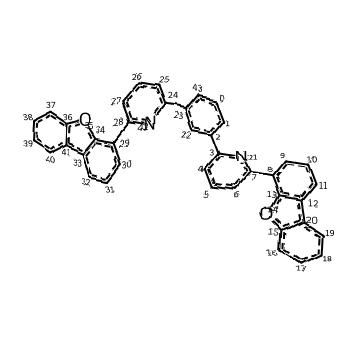 c1cc(-c2cccc(-c3cccc4c3oc3ccccc34)n2)cc(-c2cccc(-c3cccc4c3oc3ccccc34)n2)c1